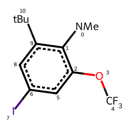 CNc1c(OC(F)(F)F)cc(I)cc1C(C)(C)C